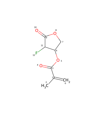 C=C(C)C(=O)OC1COC(=O)C1F